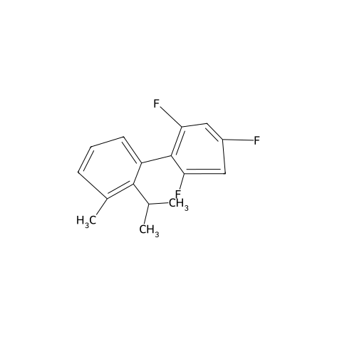 Cc1cccc(-c2c(F)cc(F)cc2F)c1C(C)C